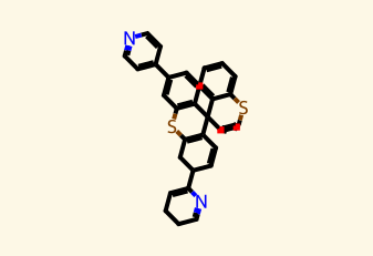 C1=CC(C2=CCCC=N2)CC2=C1C1(c3ccc(-c4ccncc4)cc3S2)c2ccccc2Sc2ccccc21